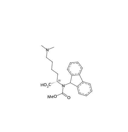 COC(=O)N(C1c2ccccc2-c2ccccc21)[C@@H](CCCCN(C)C)C(=O)O